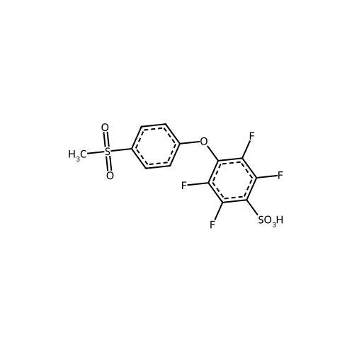 CS(=O)(=O)c1ccc(Oc2c(F)c(F)c(S(=O)(=O)O)c(F)c2F)cc1